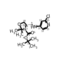 CC(C)(C)OC(=O)N1[C@@H](CNc2ccnc(Cl)c2)COC1(C)C